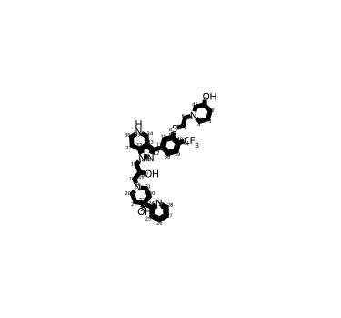 OC1CCCN(CCSc2cc(-c3nn(CC(O)CN4CCC(O)(c5ccccn5)CC4)c4c3CNCC4)ccc2C(F)(F)F)C1